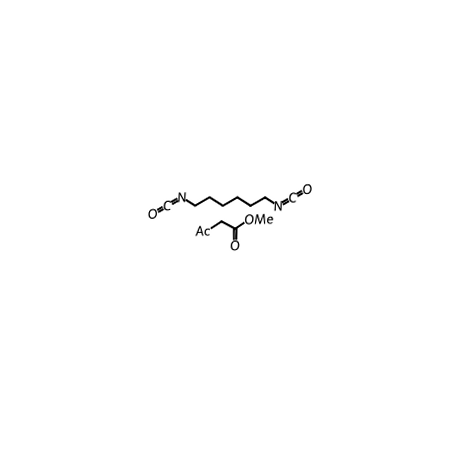 COC(=O)CC(C)=O.O=C=NCCCCCCN=C=O